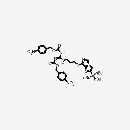 CCC[CH2][Sn]([CH2]CCC)([CH2]CCC)[c]1cn2cnc(SCCCNC(=NC(=O)OCc3ccc([N+](=O)[O-])cc3)NC(=O)OCc3ccc([N+](=O)[O-])cc3)c2s1